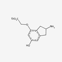 CCOC(=O)COc1cc(O)cc2c1CC(N)C2